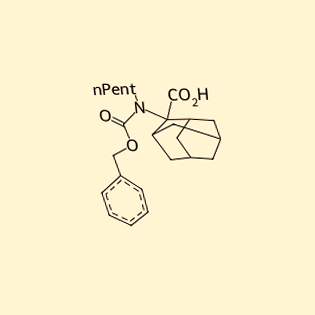 CCCCCN(C(=O)OCc1ccccc1)C1(C(=O)O)C2CC3CC(C2)CC1C3